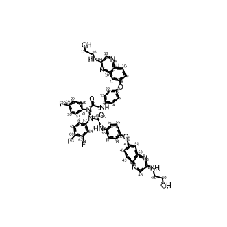 O=C(Nc1ccc(Oc2ccc3ncc(NCCO)nc3c2)cc1)N(c1ccc(F)cc1)N(C(=O)Nc1ccc(Oc2ccc3ncc(NCCO)nc3c2)cc1)c1ccc(F)c(F)c1